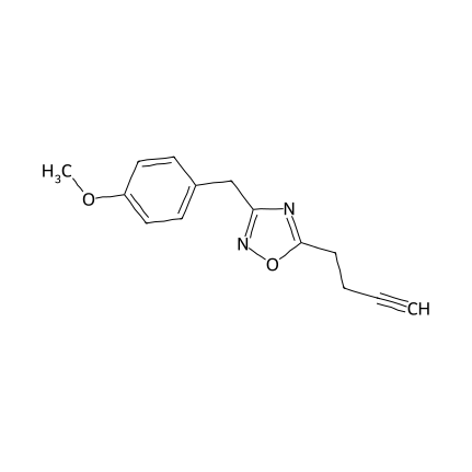 C#CCCc1nc(Cc2ccc(OC)cc2)no1